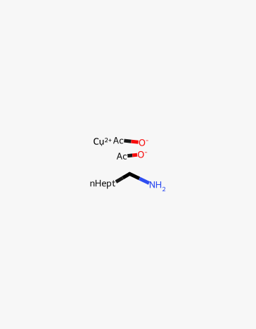 CC(=O)[O-].CC(=O)[O-].CCCCCCCCN.[Cu+2]